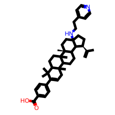 C=C(C)[C@@H]1CCC2(NCCc3ccncc3)CC[C@]3(C)C(CCC4C5(C)CC=C(c6ccc(C(=O)O)cc6)C(C)(C)C5CCC43C)C12